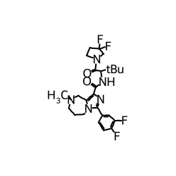 CN1CCCn2c(-c3ccc(F)c(F)c3)nc(C(=O)NC(C(=O)N3CCC(F)(F)C3)C(C)(C)C)c2C1